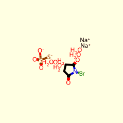 O.O.O.O.O.O=C1CCC(=O)N1Br.O=S(=O)([O-])[S-].[Na+].[Na+]